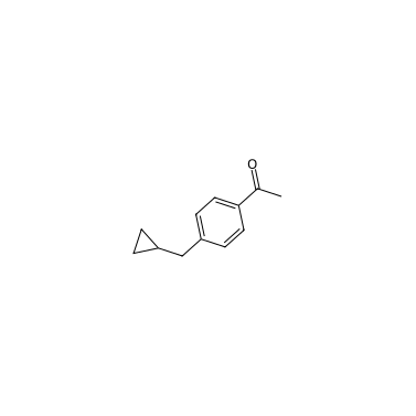 CC(=O)c1ccc(CC2CC2)cc1